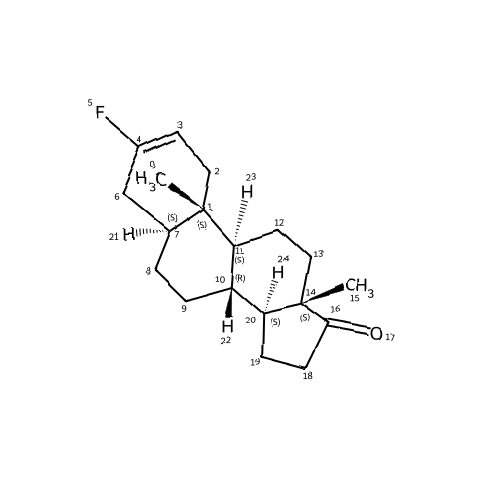 C[C@]12CC=C(F)C[C@@H]1CC[C@@H]1[C@@H]2CC[C@]2(C)C(=O)CC[C@@H]12